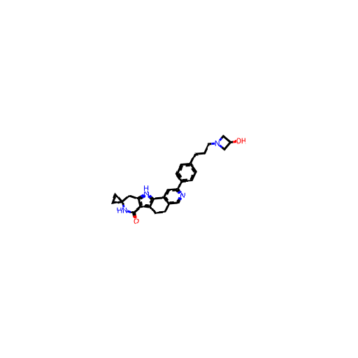 O=C1NC2(CC2)Cc2[nH]c3c(c21)CCc1cnc(-c2ccc(CCCN4CC(O)C4)cc2)cc1-3